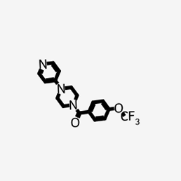 O=C(c1ccc(OC(F)(F)F)cc1)N1CCN(c2ccncc2)CC1